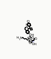 NCCCCS(=O)(=O)N(CCOc1ccc2c(c1)C(C1(c3ccc(Cl)cc3)CCC1)NCC2)/C(=C\C(=O)O)C(=O)O